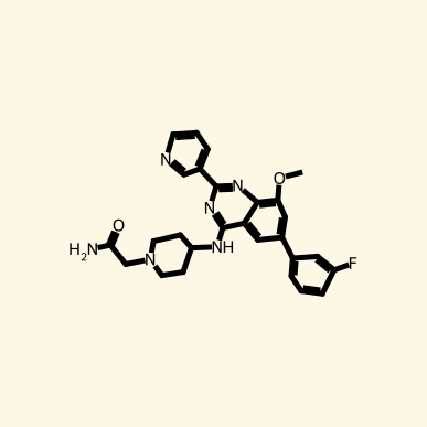 COc1cc(-c2cccc(F)c2)cc2c(NC3CCN(CC(N)=O)CC3)nc(-c3cccnc3)nc12